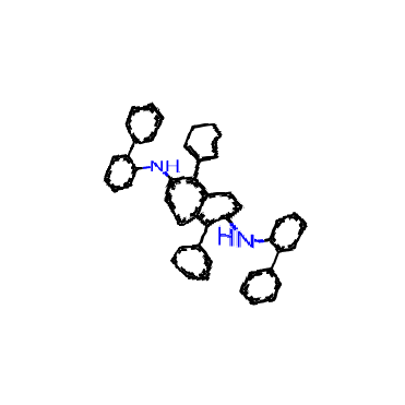 C1=CC(c2c(Nc3ccccc3-c3ccccc3)ccc3c(-c4ccccc4)c(Nc4ccccc4-c4ccccc4)ccc23)=CCC1